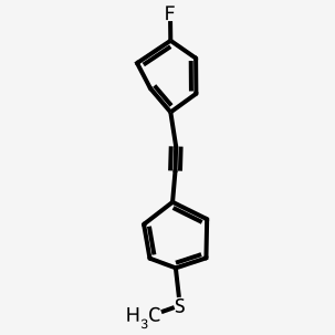 CSc1ccc(C#Cc2ccc(F)cc2)cc1